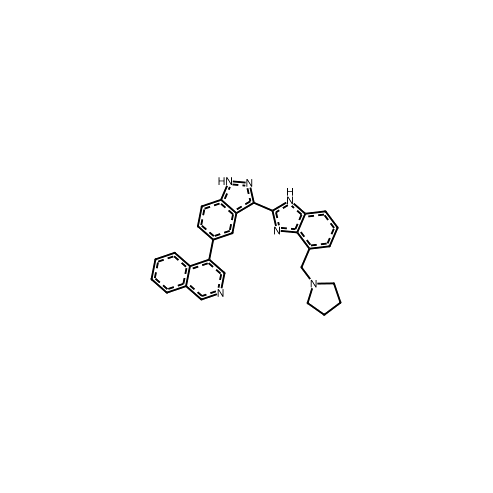 c1ccc2c(-c3ccc4[nH]nc(-c5nc6c(CN7CCCC7)cccc6[nH]5)c4c3)cncc2c1